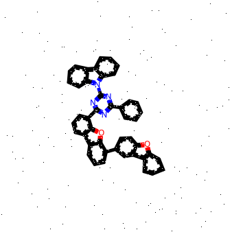 c1ccc(-c2nc(-c3cccc4c3oc3c(-c5ccc6oc7ccccc7c6c5)cccc34)nc(-n3c4ccccc4c4ccccc43)n2)cc1